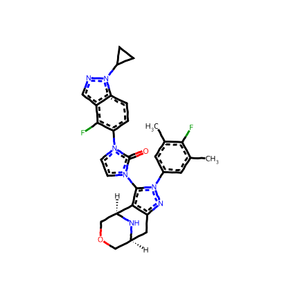 Cc1cc(-n2nc3c(c2-n2ccn(-c4ccc5c(cnn5C5CC5)c4F)c2=O)[C@@H]2COC[C@H](C3)N2)cc(C)c1F